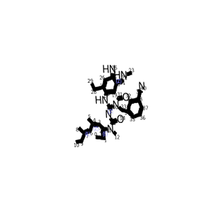 C\C=C(/C=C(C)\C=C(/C)CC)N(C)C(=O)/N=C(/NC1=C/C(=C/NC)C(=N)C=C1CC)N(C=O)Cc1cccc(C#N)c1